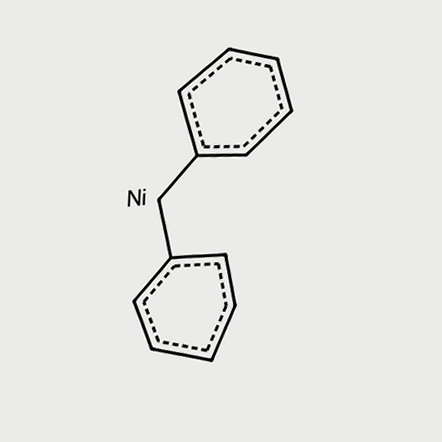 [Ni].c1ccc(Cc2ccccc2)cc1